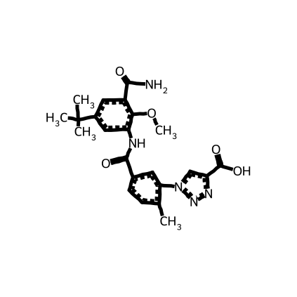 COc1c(NC(=O)c2ccc(C)c(-n3cc(C(=O)O)nn3)c2)cc(C(C)(C)C)cc1C(N)=O